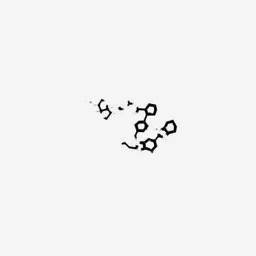 CCCc1nc2c(C)cc(-c3nc4ccccc4n3C)cc2n1Cc1ccc(-c2ccccc2C(=O)OC(C)OC(=O)O[C@H]2CO[C@H]3[C@@H]2OC[C@@H]3OC)cc1